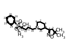 CC1(C)CC(C2CCCN(CCCC(C)(C)S(=O)(=O)c3ccccc3)C2)=NO1